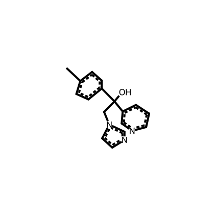 Cc1ccc(C(O)(Cn2ccnc2)c2cccnc2)cc1